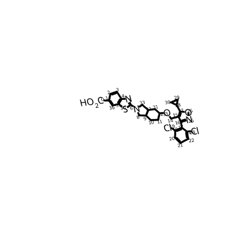 O=C(O)c1ccc2nc(N3CC4CCC(OCc5c(-c6c(Cl)cccc6Cl)noc5C5CC5)CC4C3)sc2c1